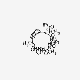 CC(C)C(=O)O[C@@H](C)[C@H]1/C=C/c2ccc3ccc(nc3c2)[C@@H](C)OC(=O)[C@@H]2CCCN(N2)C(=O)[C@H](C)NC(=O)[C@H](C(C)C)NC1=O